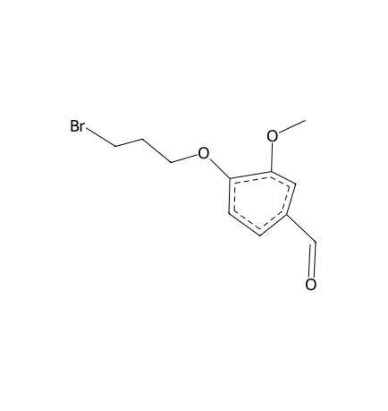 COc1cc(C=O)ccc1OCCCBr